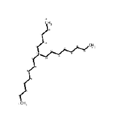 CCCCCCCCP(CCCCC)CCCCCCCC